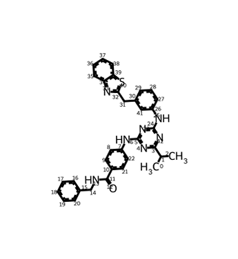 CC(C)c1nc(Nc2ccc(C(=O)NCc3ccccc3)cc2)nc(Nc2cccc(Cc3nc4ccccc4s3)c2)n1